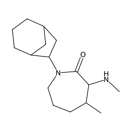 CNC1C(=O)N(C2CC3CCCC2C3)CCCC1C